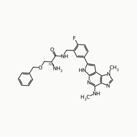 CNc1nc2[nH]c(-c3ccc(F)c(CNC(=O)[C@@H](N)COCc4ccccc4)c3)cc2c2c1ncn2C